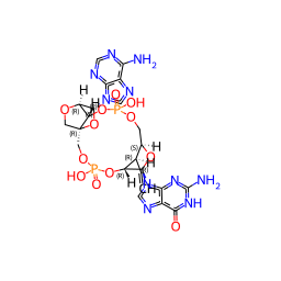 C#C[C@H]1[C@H]2OP(=O)(O)OC[C@@]34CO[C@@H]([C@H](n5cnc6c(N)ncnc65)O3)[C@@H]4OP(=O)(O)OC[C@H]1O[C@H]2n1cnc2c(=O)[nH]c(N)nc21